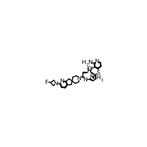 CN1C2=CC=C(Sc3ccnc(N)c3Cl)/C1=N/C=C/C(N1CCC3(CC1)Cc1ccc(N4CC(F)C4)nc1C3)=N\2